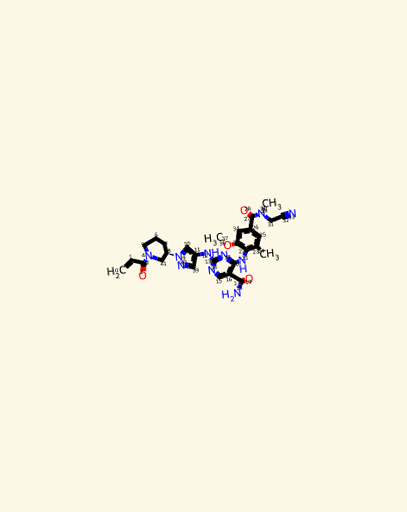 C=CC(=O)N1CCC[C@H](n2cc(Nc3ncc(C(N)=O)c(Nc4c(C)cc(C(=O)N(C)CC#N)cc4OC)n3)cn2)C1